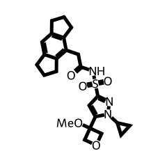 COC1(c2cc(S(=O)(=O)NC(=O)Cc3c4c(cc5c3CCC5)CCC4)nn2C2CC2)COC1